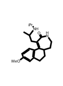 COc1ccc2c(c1)CCC1CCNC(=O)C(CC(C)NC(C)C)=C21